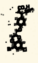 CC#C[C@@H](CC(=O)O)c1ccc(OC[C@H]2COc3c(Br)cc(Cl)cc3O2)cc1